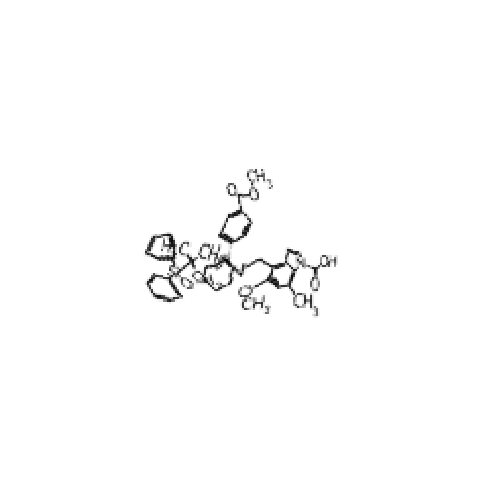 COC(=O)c1ccc([C@H]2C[C@@H](O[Si](c3ccccc3)(c3ccccc3)C(C)(C)C)CCN2Cc2c(OC)cc(C)c3c2ccn3C(=O)O)cc1